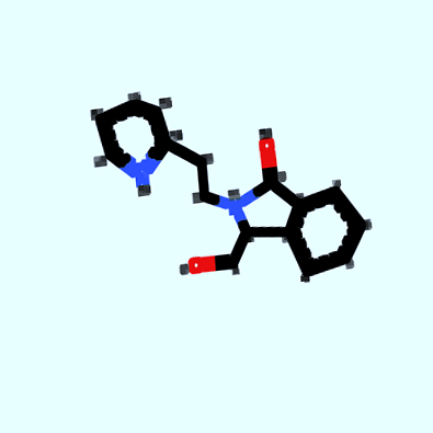 O=CC1c2ccccc2C(=O)N1CCc1ccccn1